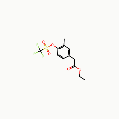 CCOC(=O)Cc1ccc(OS(=O)(=O)C(F)(F)F)c(C)c1